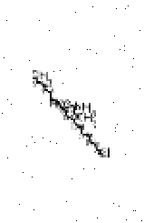 CCCC.CCCCCCCCCCCCCCCC/C=C/Cl.N